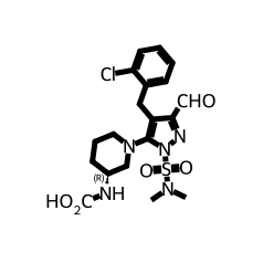 CN(C)S(=O)(=O)n1nc(C=O)c(Cc2ccccc2Cl)c1N1CCC[C@@H](NC(=O)O)C1